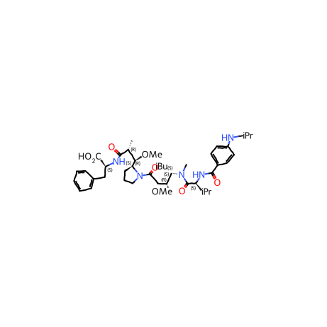 CC[C@H](C)[C@@H]([C@@H](CC(=O)N1CCC[C@H]1[C@H](OC)[C@@H](C)C(=O)N[C@@H](Cc1ccccc1)C(=O)O)OC)N(C)C(=O)[C@@H](NC(=O)c1ccc(NC(C)C)cc1)C(C)C